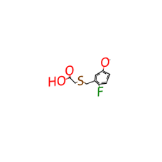 COc1ccc(F)c(CSCC(=O)O)c1